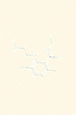 CCOC(=O)c1c(C)ccc(Br)c1OCCOC